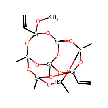 C=C[Si]1(O[SiH3])O[Si]2(C)O[Si]3(C)O[SiH](C)O[Si]4(C)O[Si](C)(O[Si](C)(O2)O[Si](C=C)(O3)O4)O1